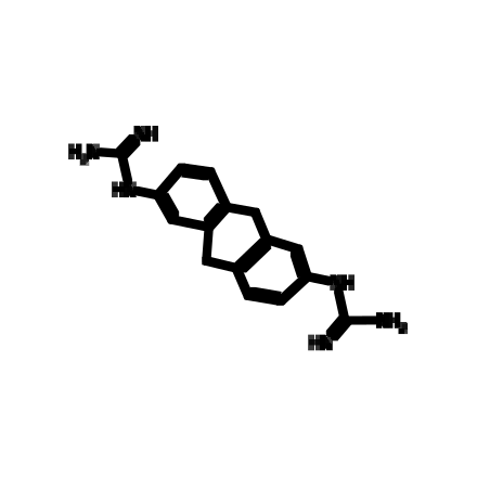 N=C(N)Nc1ccc2c(c1)Cc1ccc(NC(=N)N)cc1C2